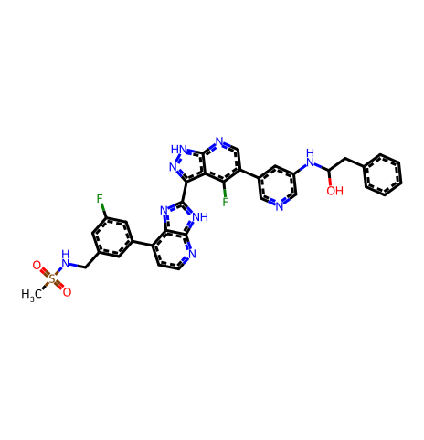 CS(=O)(=O)NCc1cc(F)cc(-c2ccnc3[nH]c(-c4n[nH]c5ncc(-c6cncc(NC(O)Cc7ccccc7)c6)c(F)c45)nc23)c1